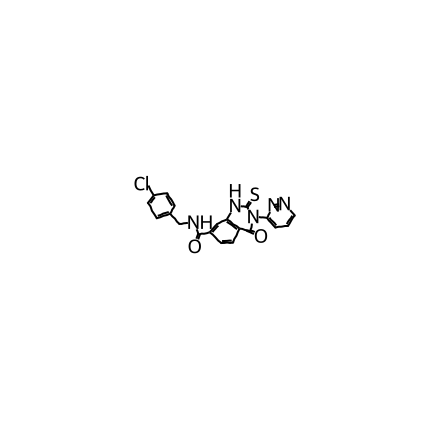 O=C(NCc1ccc(Cl)cc1)c1ccc2c(=O)n(-c3cccnn3)c(=S)[nH]c2c1